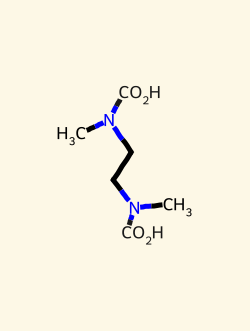 CN(CCN(C)C(=O)O)C(=O)O